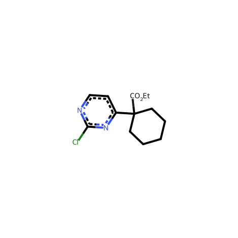 CCOC(=O)C1(c2ccnc(Cl)n2)CCCCC1